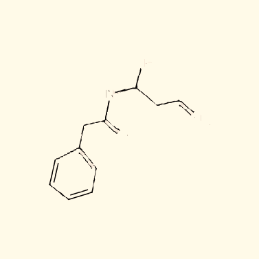 C=CCC(NC(=O)Cc1ccccc1)C(C)C